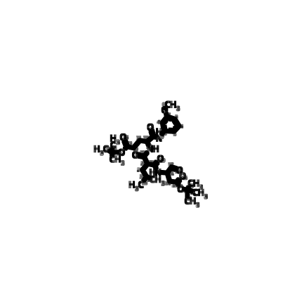 COc1cccc(NC(=O)C(CCC(=O)OC(C)(C)C)NC(=O)C(CC(C)C)C(=O)NC(C=O)CC(=O)OC(C)(C)C)c1